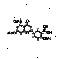 COc1cc(OC)c2c(=O)cc(-c3ccc(OC)c(B(O)O)c3)oc2c1